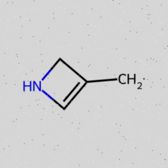 [CH2]C1=CNC1